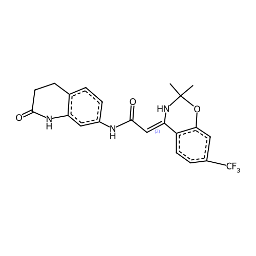 CC1(C)N/C(=C\C(=O)Nc2ccc3c(c2)NC(=O)CC3)c2ccc(C(F)(F)F)cc2O1